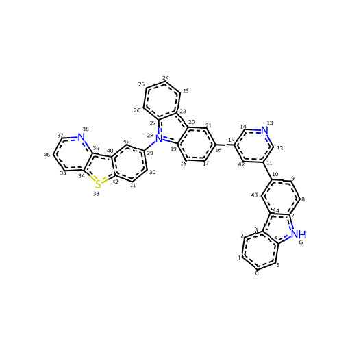 c1ccc2c(c1)[nH]c1ccc(-c3cncc(-c4ccc5c(c4)c4ccccc4n5-c4ccc5sc6cccnc6c5c4)c3)cc12